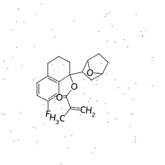 C=C(C)C(=O)OC1(C2CC3CCC2O3)CCCc2ccc(F)cc21